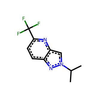 CC(C)n1cc2nc(C(F)(F)F)ccc2n1